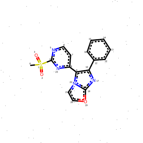 CS(=O)(=O)c1nccc(-c2c(-c3ccccc3)nc3occn23)n1